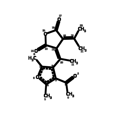 CC(=O)c1c(C)oc(C)c1C(C)=C1C(=O)OC(=O)C1=C(C)C